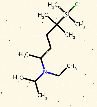 CCN(C(C)C)C(C)CCC(C)(C)[Si](C)(C)Cl